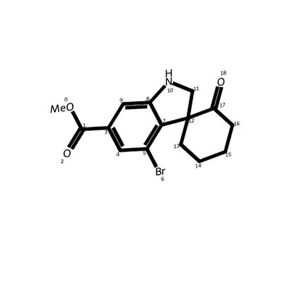 COC(=O)c1cc(Br)c2c(c1)NCC21CCCCC1=O